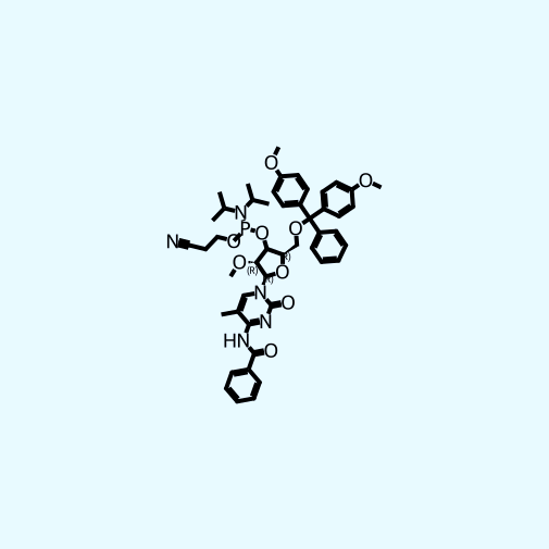 COc1ccc(C(OC[C@H]2O[C@@H](n3cc(C)c(NC(=O)c4ccccc4)nc3=O)[C@H](OC)C2OP(OCCC#N)N(C(C)C)C(C)C)(c2ccccc2)c2ccc(OC)cc2)cc1